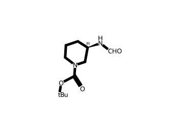 CC(C)(C)OC(=O)N1CCC[C@@H](NC=O)C1